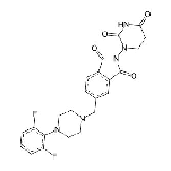 O=C1CCN(N2C(=O)c3ccc(CN4CCN(c5c(F)cccc5F)CC4)cc3C2=O)C(=O)N1